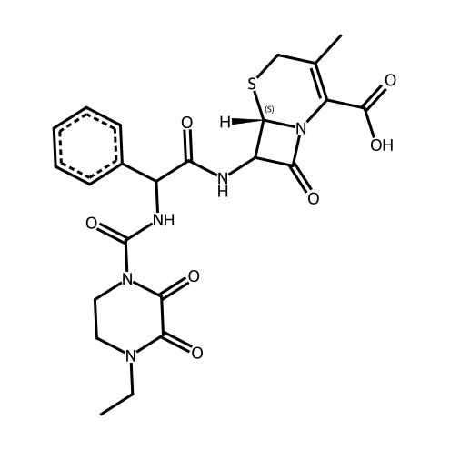 CCN1CCN(C(=O)NC(C(=O)NC2C(=O)N3C(C(=O)O)=C(C)CS[C@@H]23)c2ccccc2)C(=O)C1=O